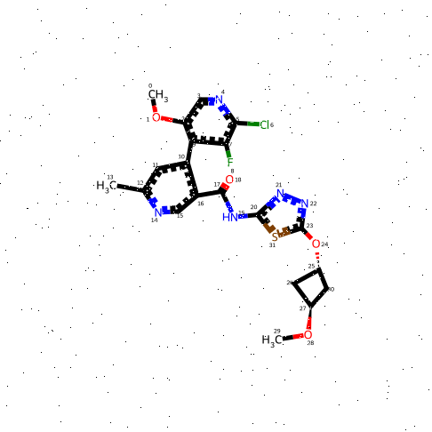 COc1cnc(Cl)c(F)c1-c1cc(C)ncc1C(=O)Nc1nnc(O[C@H]2C[C@H](OC)C2)s1